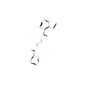 O=C(NCCNC(=O)c1cccc2occc12)c1ccccc1